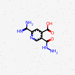 N=C(N)c1cc(C(=O)O)c(C(=O)NN)cn1